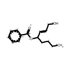 CCCCC(/C=C/CO)OC(=O)c1ccccc1